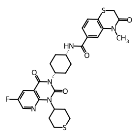 CN1C(=O)CSc2ccc(C(=O)N[C@H]3CC[C@@H](n4c(=O)c5cc(F)cnc5n(C5CCSCC5)c4=O)CC3)cc21